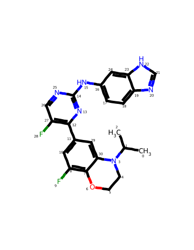 CC(C)N1CCOc2c(F)cc(-c3nc(Nc4ccc5nc[nH]c5c4)ncc3F)cc21